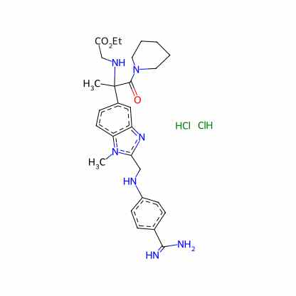 CCOC(=O)CNC(C)(C(=O)N1CCCCC1)c1ccc2c(c1)nc(CNc1ccc(C(=N)N)cc1)n2C.Cl.Cl